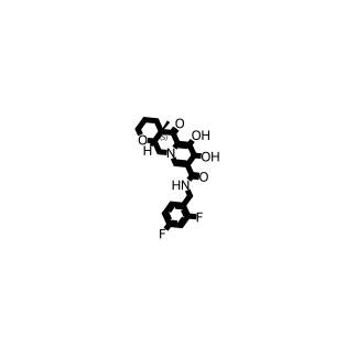 C[C@]12CCCO[C@H]1CN1C=C(C(=O)NCc3ccc(F)cc3F)C(O)C(O)=C1C2=O